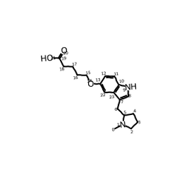 CN1CCCC1Cc1c[nH]c2ccc(OCCCCC(=O)O)cc12